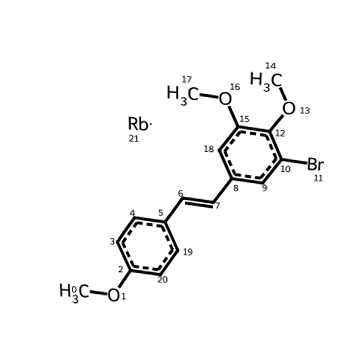 COc1ccc(C=Cc2cc(Br)c(OC)c(OC)c2)cc1.[Rb]